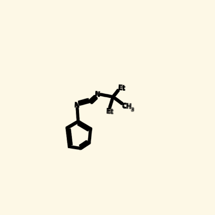 CCC(C)(CC)N=C=Nc1ccccc1